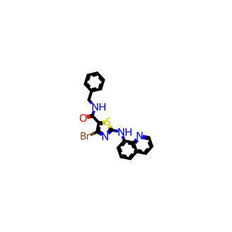 O=C(NCc1ccccc1)c1sc(Nc2cccc3cccnc23)nc1Br